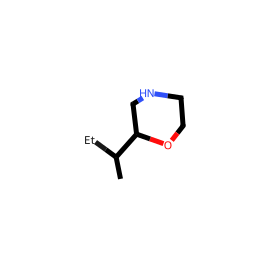 CCC(C)C1CNCCO1